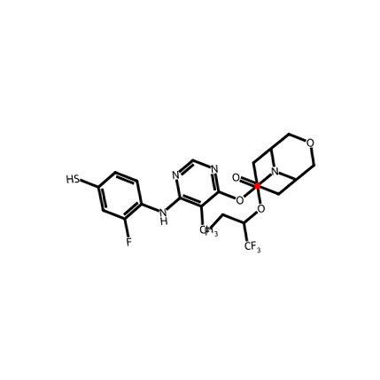 Cc1c(Nc2ccc(S)cc2F)ncnc1OC1CC2COCC(C1)N2C(=O)OC(CF)C(F)(F)F